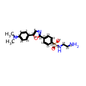 CN(C)c1ccc(-c2cnc(-c3ccc(S(=O)(=O)NCCN)cc3)o2)cc1